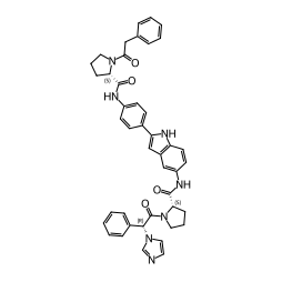 O=C(Nc1ccc(-c2cc3cc(NC(=O)[C@@H]4CCCN4C(=O)[C@@H](c4ccccc4)n4ccnc4)ccc3[nH]2)cc1)[C@@H]1CCCN1C(=O)Cc1ccccc1